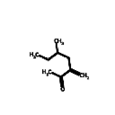 C=C(CC(C)CC)C(C)=O